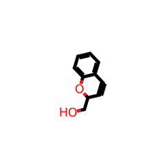 OCC1C#Cc2ccccc2O1